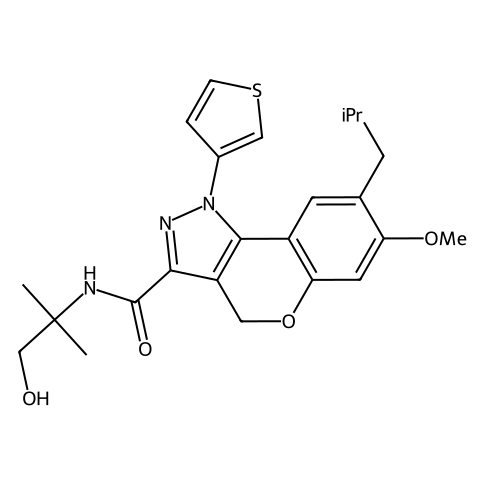 COc1cc2c(cc1CC(C)C)-c1c(c(C(=O)NC(C)(C)CO)nn1-c1ccsc1)CO2